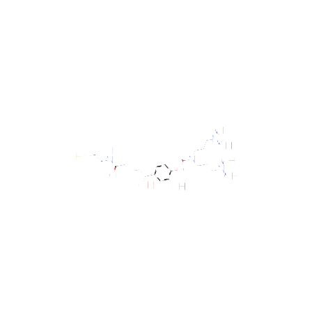 Cc1cc(C(O)COCC(=O)NCCS)ccc1OC(=O)N(CCCN(C)C)CCCN(C)C